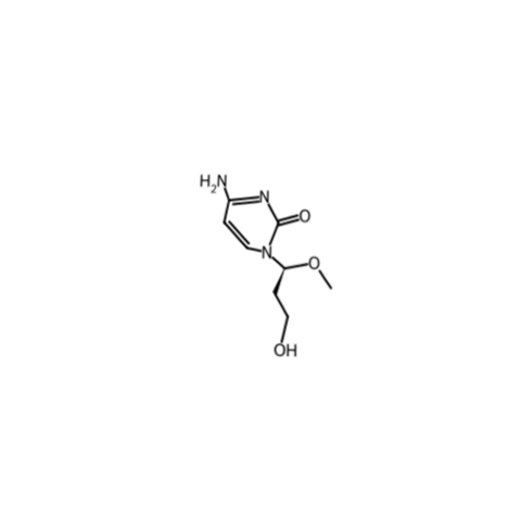 CO[C@@H](CCO)n1ccc(N)nc1=O